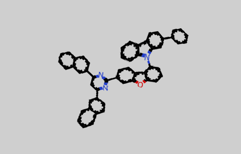 c1ccc(-c2ccc3c4ccccc4n(-c4cccc5oc6cc(-c7nc(-c8ccc9ccccc9c8)cc(-c8ccc9ccccc9c8)n7)ccc6c45)c3c2)cc1